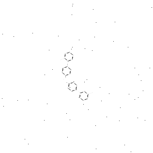 Cc1cccc(-c2ccc(Sc3ccc(-c4ccccc4C)cc3)cc2)c1